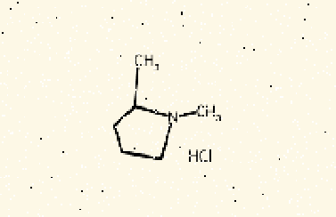 CC1CCCN1C.Cl